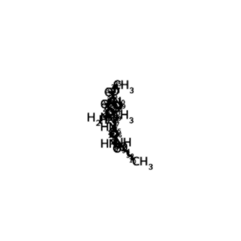 CCCCCCOC(=O)NC(=N)c1ccc(NCC(CC)Nc2ccc(C(=O)N(CCC(=O)OCC)c3ccccn3)cc2N)cc1